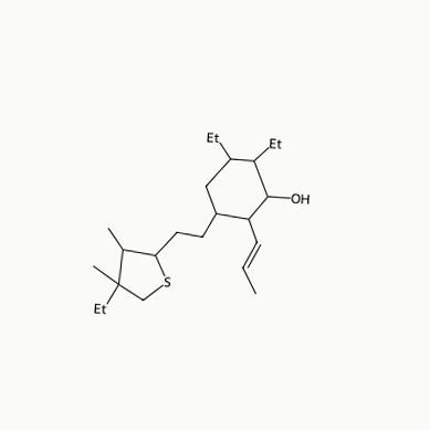 C/C=C/C1C(CCC2SCC(C)(CC)C2C)CC(CC)C(CC)C1O